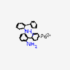 Nc1ccccc1-c1ccccc1.Nc1ccccc1-c1ccccc1.[Pd+2]